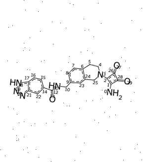 Nc1c(N2CCc3ccc(CNC(=O)c4ccc5[nH]nnc5c4)cc3C2)c(=O)c1=O